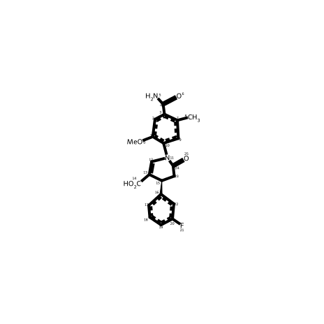 COc1cc(C(N)=O)c(C)cc1N1C=C(C(=O)O)[C@H](c2cccc(F)c2)CC1=O